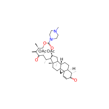 C=C(C(=O)[C@H](OC(C)=O)[C@@H](C)[C@H]1[C@@H](OC(C)=O)C[C@@]2(C)[C@@H]3CC[C@H]4[C@H](C)C(=O)C=C[C@@]45C[C@@]35CC[C@]12C)[C@@H](C)COC(=O)N1CCN(C)CC1